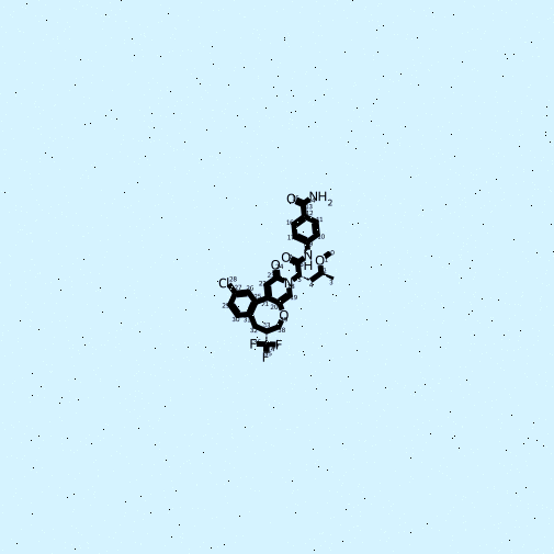 CO[C@@H](C)C[C@@H](C(=O)Nc1ccc(C(N)=O)cc1)n1cc2c(cc1=O)-c1cc(Cl)ccc1C[C@@H](C(F)(F)F)CO2